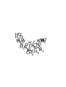 C[N+](C)(C)C.C[N+](C)(C)C.O.O.O.O.O.[OH-].[OH-]